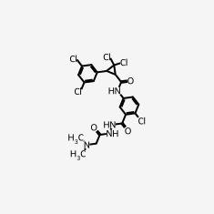 CN(C)CC(=O)NNC(=O)c1cc(NC(=O)C2C(c3cc(Cl)cc(Cl)c3)C2(Cl)Cl)ccc1Cl